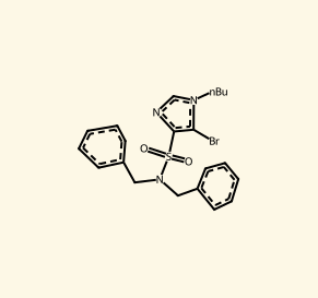 CCCCn1cnc(S(=O)(=O)N(Cc2ccccc2)Cc2ccccc2)c1Br